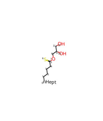 CCCCCCCCCCCC(=S)OC[C@H](O)CO